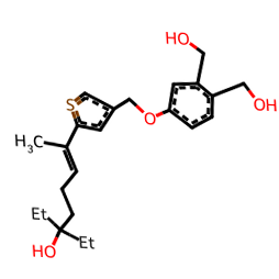 CCC(O)(CC)CCC=C(C)c1cc(COc2ccc(CO)c(CO)c2)cs1